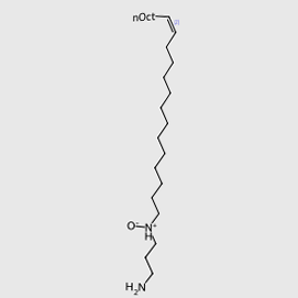 CCCCCCCC/C=C\CCCCCCCCCCCC[NH+]([O-])CCCN